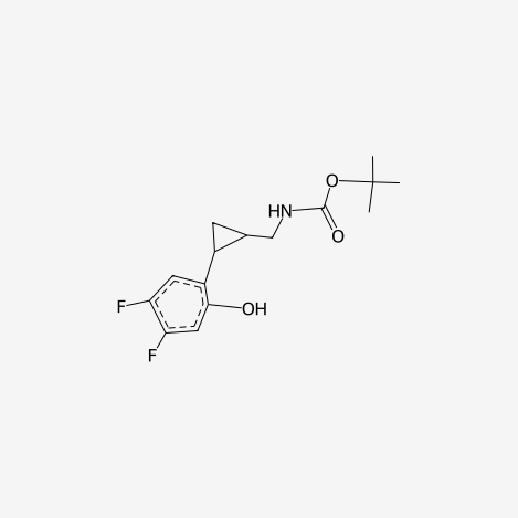 CC(C)(C)OC(=O)NCC1CC1c1cc(F)c(F)cc1O